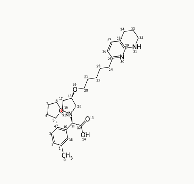 Cc1ccc([C@@H]2CCCO2)c([C@H](C(=O)O)N2CC[C@@H](OCCCCCc3ccc4c(n3)NCCC4)C2)c1